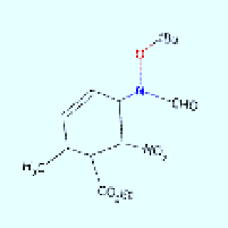 CCOC(=O)C1C(C)C=CC(N(C=O)OC(C)(C)C)C1[N+](=O)[O-]